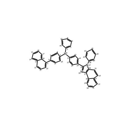 c1ccc(N(c2ccc(-c3cccc4ccccc34)cc2)c2ccc(-c3nc4c5ccccc5ccc4n3-c3ccccc3)cc2)cc1